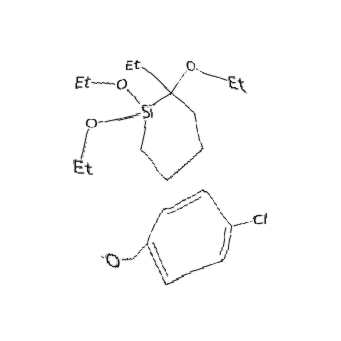 CCOC1(CC)CCCC[Si]1(OCC)OCC.[O]c1ccc(Cl)cc1